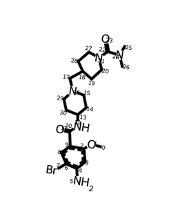 COc1cc(N)c(Br)cc1C(=O)NC1CCN(CC2CCN(C(=O)N(C)C)CC2)CC1